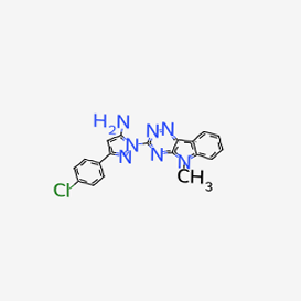 Cn1c2ccccc2c2nnc(-n3nc(-c4ccc(Cl)cc4)cc3N)nc21